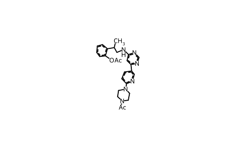 CC(=O)Oc1ccccc1C(C)CNc1cc(-c2ccc(N3CCN(C(C)=O)CC3)nc2)ncn1